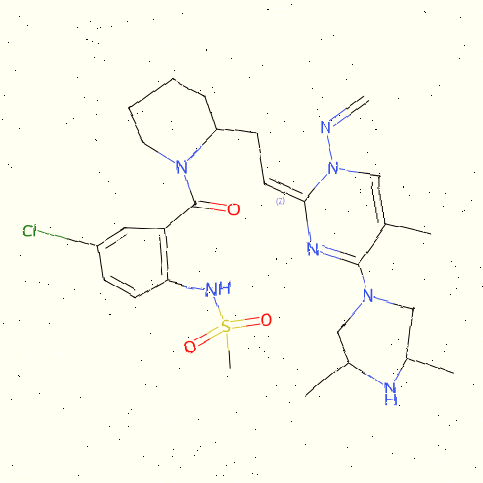 C=NN1C=C(C)C(N2CC(C)NC(C)C2)=N/C1=C/CC1CCCCN1C(=O)c1cc(Cl)ccc1NS(C)(=O)=O